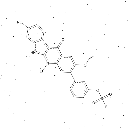 CCn1c2cc(-c3cccc(OS(=O)(=O)F)c3)c(OC(C)C)cc2c(=O)c2c3ccc(C#N)cc3[nH]c21